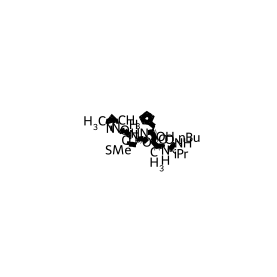 CCCCNC(=O)[C@@H](NC(=O)[C@H](C)C[C@H](O)[C@H](CC1CCCC1)NC(=O)[C@H](CCSC)NC(=O)OCn1nc(C)cc1C)C(C)C